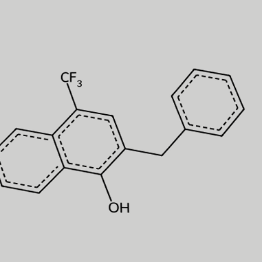 Oc1c(Cc2ccccc2)cc(C(F)(F)F)c2ccccc12